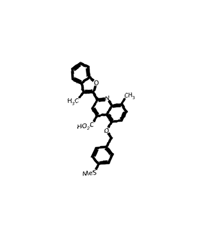 CSc1ccc(COc2ccc(C)c3nc(-c4oc5ccccc5c4C)cc(C(=O)O)c23)cc1